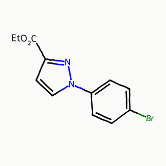 CCOC(=O)c1ccn(-c2ccc(Br)cc2)n1